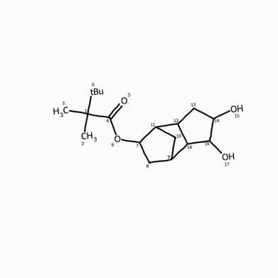 CC(C)(C)C(C)(C)C(=O)OC1CC2CC1C1CC(O)C(O)C21